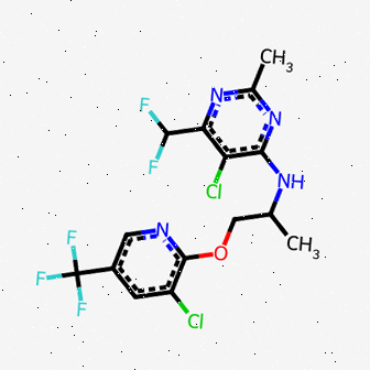 Cc1nc(NC(C)COc2ncc(C(F)(F)F)cc2Cl)c(Cl)c(C(F)F)n1